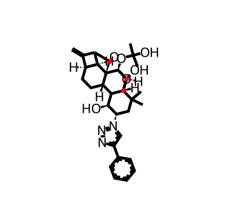 C=C1C2C(=O)[C@]34[C@H]2[C@H]1CC[C@H]3[C@@]12CO[C@]4(OC(C)(C)O)[C@@H](O)[C@@H]1C(C)(C)C[C@H](n1cc(-c3ccccc3)nn1)[C@H]2O